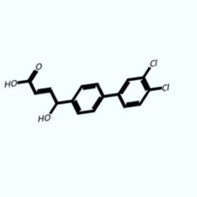 O=C(O)/C=C/C(O)c1ccc(-c2ccc(Cl)c(Cl)c2)cc1